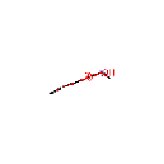 CCCCCCCCCCCCCCCCCCCCCCCCCCCCCCCC(=O)OCCCCCCCC/C=C\C[C@H](O)CCCCCC